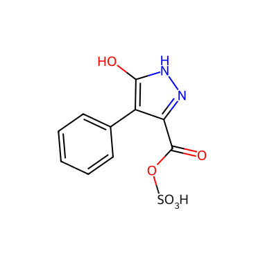 O=C(OS(=O)(=O)O)c1n[nH]c(O)c1-c1ccccc1